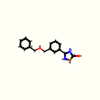 O=c1[nH]c(-c2cccc(COCc3ccccc3)c2)ns1